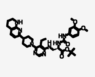 CCc1c(NC[C@H](NC(=O)Nc2ccc(OC)c(OC)c2)C(=O)OC(C)(C)C)ncnc1N1CCC(c2ccc3c(n2)NCCC3)CC1